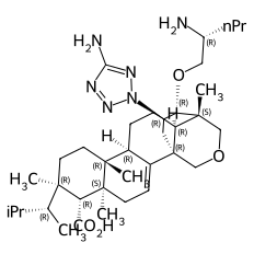 CCC[C@@H](N)CO[C@H]1[C@H](n2nnc(N)n2)C[C@@]23COC[C@]1(C)[C@@H]2CC[C@H]1C3=CC[C@@]2(C)[C@H](C(=O)O)[C@@](C)([C@H](C)C(C)C)CC[C@]12C